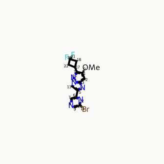 COc1cc2nc(-c3cncc(Br)n3)cn2nc1C1CC(F)(F)C1